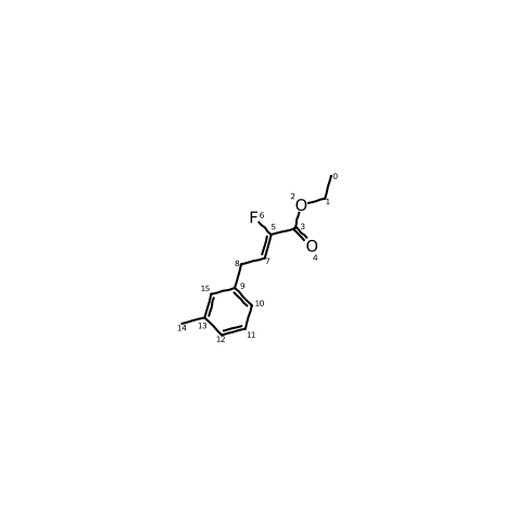 CCOC(=O)C(F)=CCc1cccc(C)c1